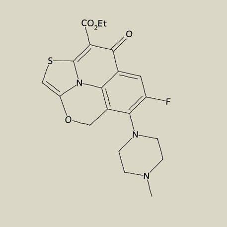 CCOC(=O)c1c(=O)c2cc(F)c(N3CCN(C)CC3)c3c2n2c(csc12)OC3